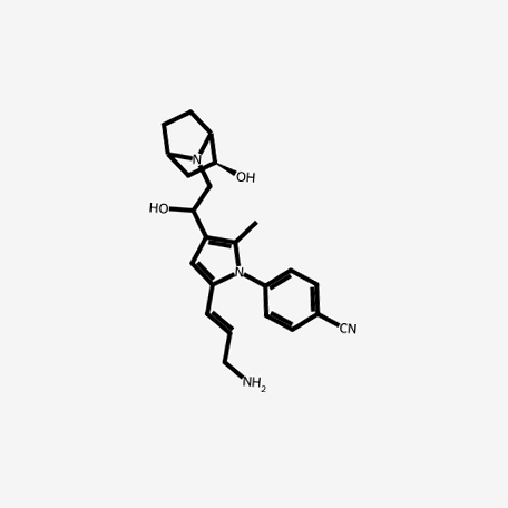 Cc1c(C(O)CN2C3CCC2[C@@H](O)C3)cc(/C=C/CN)n1-c1ccc(C#N)cc1